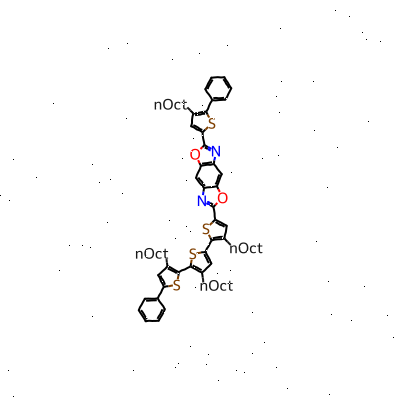 CCCCCCCCc1cc(-c2nc3cc4oc(-c5cc(CCCCCCCC)c(-c6cc(CCCCCCCC)c(-c7sc(-c8ccccc8)cc7CCCCCCCC)s6)s5)nc4cc3o2)sc1-c1ccccc1